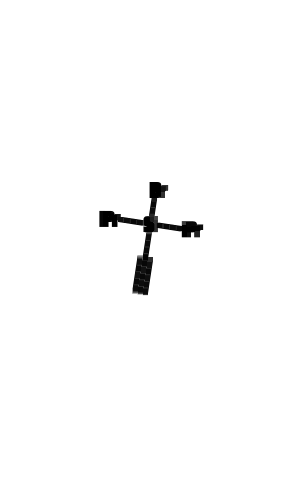 C#C[Si](Br)(C(C)C)C(C)C